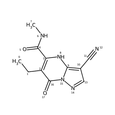 CCc1c(C(=O)NC)[nH]c2c(C#N)cnn2c1=O